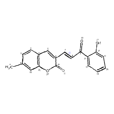 Cc1ccc2cc(/C=C/C(=O)c3ccccc3O)c(=O)oc2c1